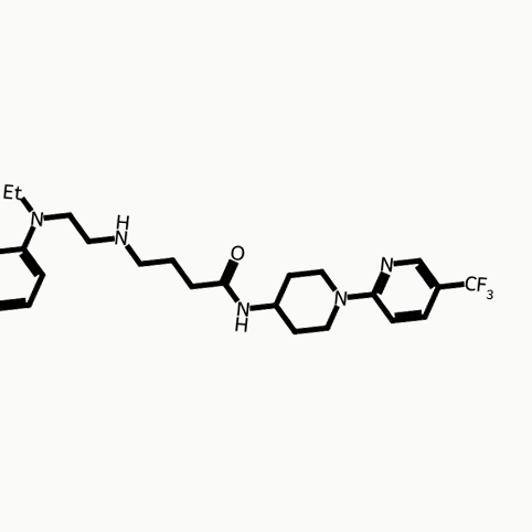 CCN(CCNCCCC(=O)NC1CCN(c2ccc(C(F)(F)F)cn2)CC1)c1ccc(Cl)cc1